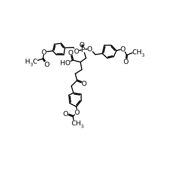 CC(=O)Oc1ccc(COP(=O)(CC(CCC(=O)Cc2ccc(OC(C)=O)cc2)C(=O)O)OCc2ccc(OC(C)=O)cc2)cc1